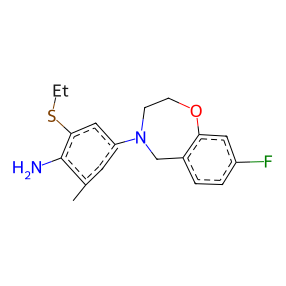 CCSc1cc(N2CCOc3cc(F)ccc3C2)cc(C)c1N